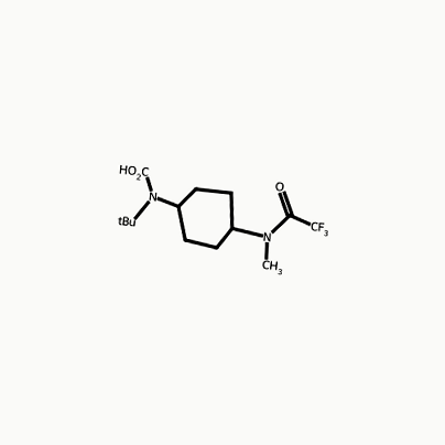 CN(C(=O)C(F)(F)F)C1CCC(N(C(=O)O)C(C)(C)C)CC1